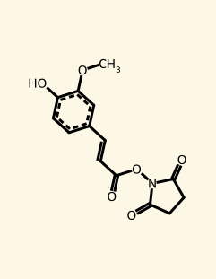 COc1cc(C=CC(=O)ON2C(=O)CCC2=O)ccc1O